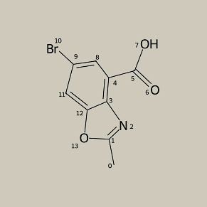 Cc1nc2c(C(=O)O)cc(Br)cc2o1